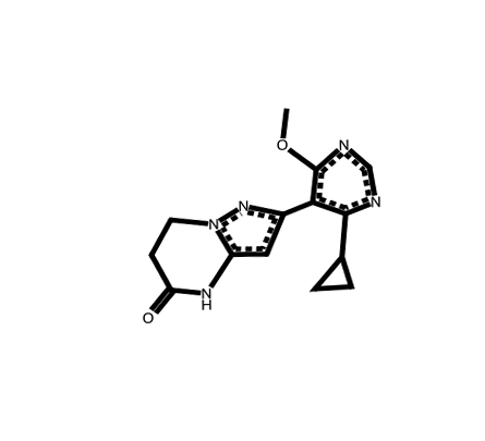 COc1ncnc(C2CC2)c1-c1cc2n(n1)CCC(=O)N2